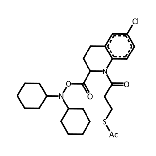 CC(=O)SCCC(=O)N1c2ccc(Cl)cc2CCC1C(=O)ON(C1CCCCC1)C1CCCCC1